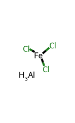 [AlH3].[Cl][Fe]([Cl])[Cl]